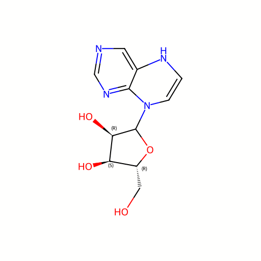 OC[C@H]1OC(N2C=CNc3cncnc32)[C@H](O)[C@@H]1O